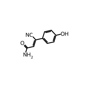 N#CC(=CC(N)=O)c1ccc(O)cc1